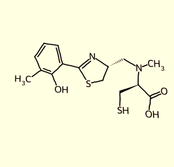 Cc1cccc(C2=N[C@H](CN(C)[C@H](CS)C(=O)O)CS2)c1O